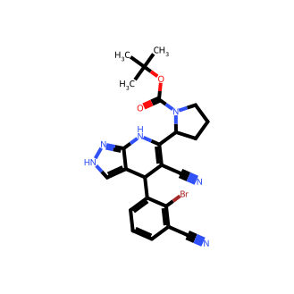 CC(C)(C)OC(=O)N1CCCC1C1=C(C#N)C(c2cccc(C#N)c2Br)c2c[nH]nc2N1